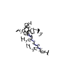 CC1=C(/C=C/C(C)=C/C=C/C(C)=C/CO)C(C)(C)CC(O)C1